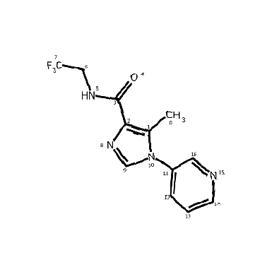 Cc1c(C(=O)NCC(F)(F)F)ncn1-c1cccnc1